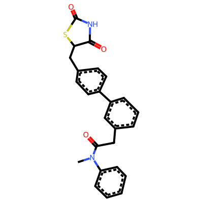 CN(C(=O)Cc1cccc(-c2ccc(CC3SC(=O)NC3=O)cc2)c1)c1ccccc1